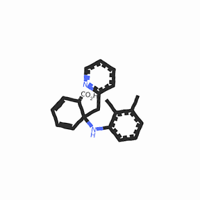 Cc1cccc(NC2(Cc3ccccn3)C=CC=CC2C(=O)O)c1C